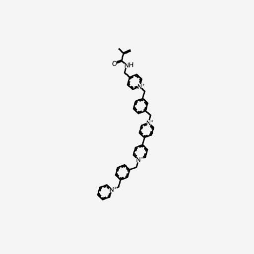 C=C(C)C(=O)NCc1cc[n+](Cc2cccc(C[n+]3ccc(-c4cc[n+](Cc5cccc(C[n+]6ccccc6)c5)cc4)cc3)c2)cc1